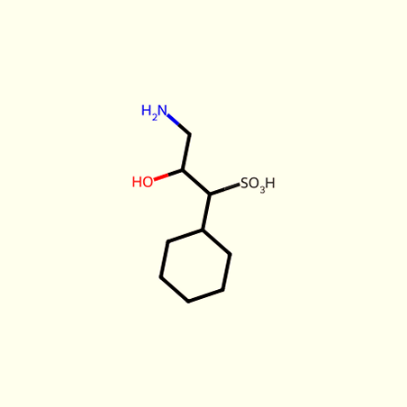 NCC(O)C(C1CCCCC1)S(=O)(=O)O